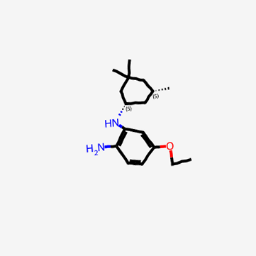 CCOc1ccc(N)c(N[C@H]2C[C@@H](C)CC(C)(C)C2)c1